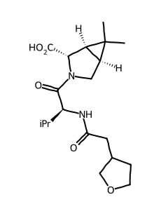 CC(C)[C@H](NC(=O)CC1CCOC1)C(=O)N1C[C@H]2[C@@H]([C@H]1C(=O)O)C2(C)C